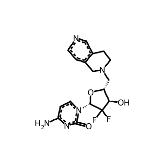 Nc1ccn([C@@H]2O[C@H](CN3CCc4cnccc4C3)[C@@H](O)C2(F)F)c(=O)n1